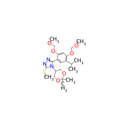 COCOc1cc(OCOC)c(C(C)C)cc1-c1nnc(SC)n1C1COC(C)(C)OC1